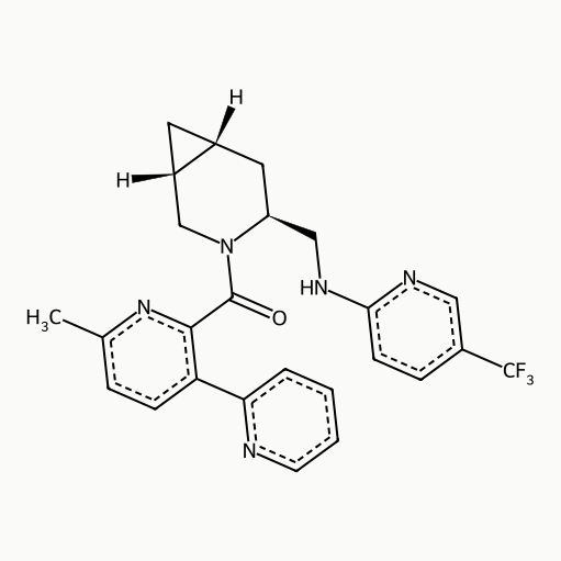 Cc1ccc(-c2ccccn2)c(C(=O)N2C[C@@H]3C[C@@H]3C[C@H]2CNc2ccc(C(F)(F)F)cn2)n1